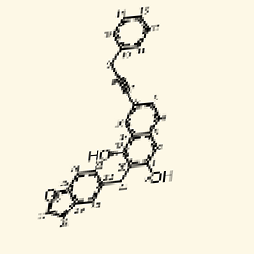 Oc1cc2ccc(C#CCc3ccccc3)cc2c(O)c1Cc1ccc2occc2c1